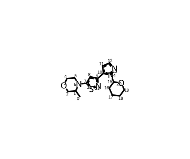 CC1COCCN1c1cc(-c2ccnn2C2CCCCO2)ns1